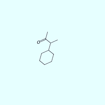 CC(=O)C(C)C1CCCCC1